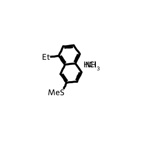 CCc1cccc2ccc(SC)cc12.Cl.N